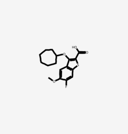 COc1cc2c(OC3CCCCCC3)c(C(=O)O)sc2cc1F